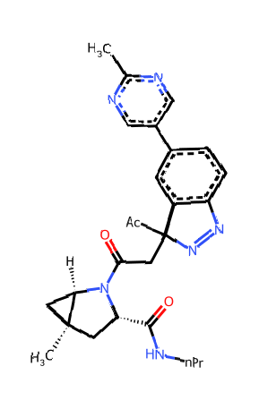 CCCNC(=O)[C@@H]1C[C@@]2(C)C[C@H]2N1C(=O)CC1(C(C)=O)N=Nc2ccc(-c3cnc(C)nc3)cc21